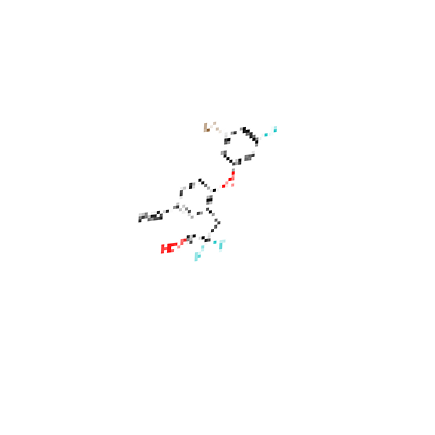 CSc1ccc(Oc2cc(F)cc(Br)c2)c2c1[C@H](O)C(F)(F)C2